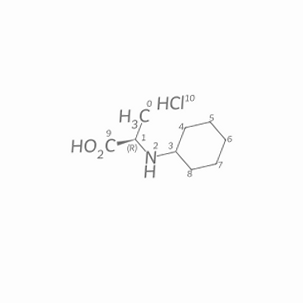 C[C@@H](NC1CCCCC1)C(=O)O.Cl